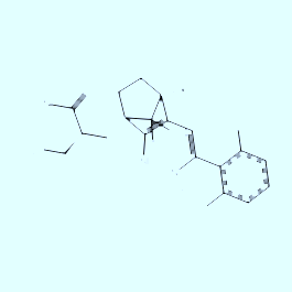 CC[C@H](C[C@@]12CC[C@@H](C(/C=C(\N)c3c(F)cccc3F)=C1N)C2(C)C)C(N)=O